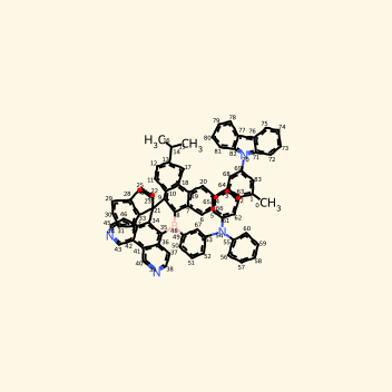 Cc1cc(-c2ccc3c4c(c5ccc(C(C)C)cc5c3c2)C2(c3ccccc3-c3ccccc32)c2c(c3ccncc3c3cnccc23)B4c2cccc(N(c3ccccc3)c3ccccc3)c2)cc(-n2c3ccccc3c3ccccc32)c1